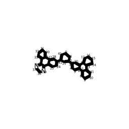 c1cc(-c2ccc3c4ccccc4c4ccccc4c3c2)cc(-c2ccc3c(c2)c2ccccc2c2nccnc32)c1